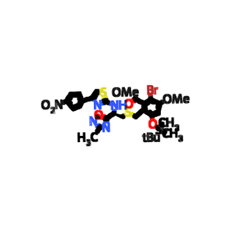 COC(=O)c1c(Br)c(OC)cc(O[Si](C)(C)C(C)(C)C)c1CSC[C@H](Nc1nc(-c2ccc([N+](=O)[O-])cc2)cs1)c1nc(C)no1